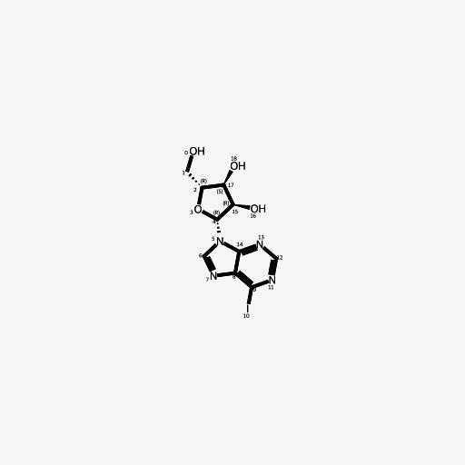 OC[C@H]1O[C@@H](n2cnc3c(I)ncnc32)[C@H](O)[C@@H]1O